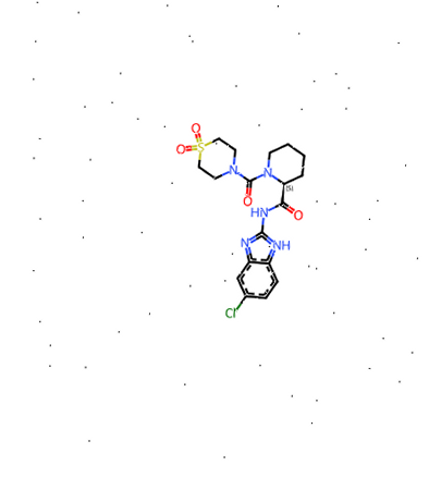 O=C(Nc1nc2cc(Cl)ccc2[nH]1)[C@@H]1CCCCN1C(=O)N1CCS(=O)(=O)CC1